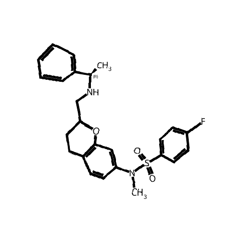 C[C@@H](NCC1CCc2ccc(N(C)S(=O)(=O)c3ccc(F)cc3)cc2O1)c1ccccc1